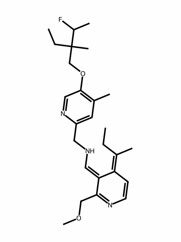 CC/C(C)=c1/ccnc(COC)/c1=C/NCc1cc(C)c(OCC(C)(CC)C(C)F)cn1